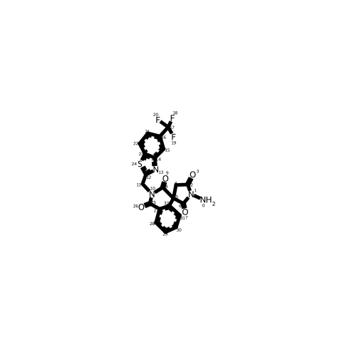 NN1C(=O)CC2(C1=O)C(=O)N(Cc1nc3cc(C(F)(F)F)ccc3s1)C(=O)c1ccccc12